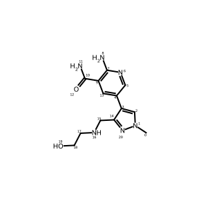 Cn1cc(-c2cnc(N)c(C(N)=O)c2)c(CNCCO)n1